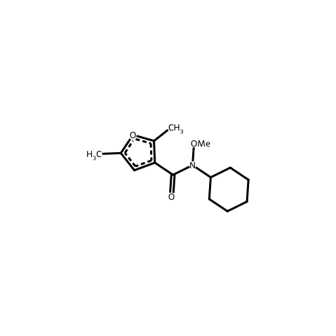 CON(C(=O)c1cc(C)oc1C)C1CCCCC1